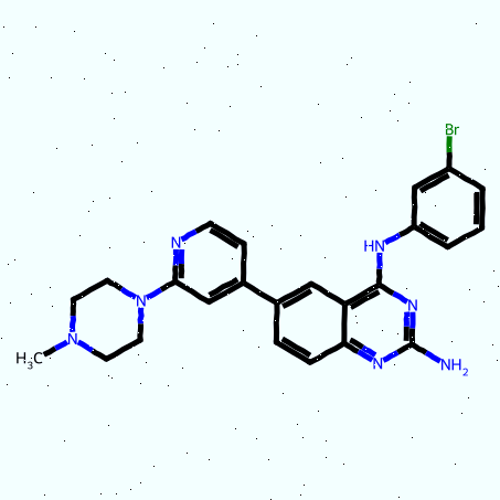 CN1CCN(c2cc(-c3ccc4nc(N)nc(Nc5cccc(Br)c5)c4c3)ccn2)CC1